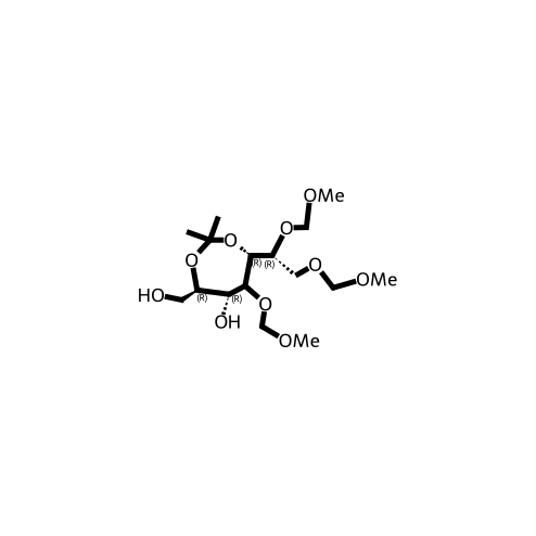 COCOC[C@@H](OCOC)[C@H]1OC(C)(C)O[C@H](CO)[C@@H](O)C1OCOC